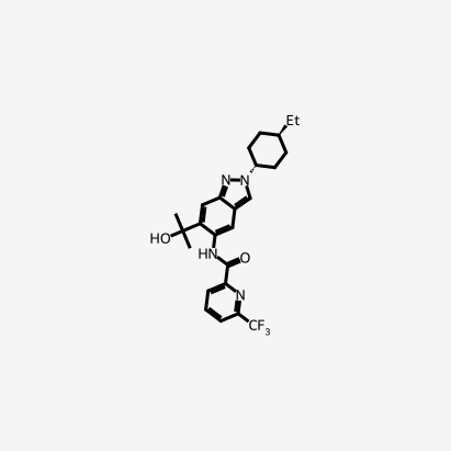 CC[C@H]1CC[C@H](n2cc3cc(NC(=O)c4cccc(C(F)(F)F)n4)c(C(C)(C)O)cc3n2)CC1